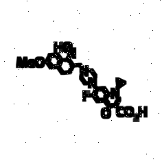 COc1ccc2c(c1)CCC(CN1CCN(c3cc4c(cc3F)c(=O)c(C(=O)O)cn4C3CC3)CC1)/C2=N/O